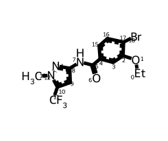 CCOc1cc(C(=O)Nc2cc(C(F)(F)F)n(C)n2)ccc1Br